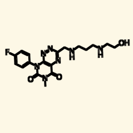 Cn1c(=O)c2nc(CNCCCNCCO)nnc2n(-c2ccc(F)cc2)c1=O